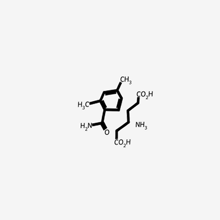 Cc1ccc(C(N)=O)c(C)c1.N.O=C(O)CCCCC(=O)O